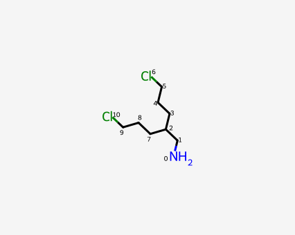 NCC(CCCCl)CCCCl